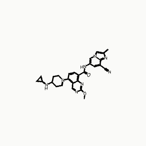 COc1ncc2c(N3CCC(NC4CC4)CC3)ccc(C(=O)Nc3cc(C#N)c4nc(C)cn4c3)c2n1